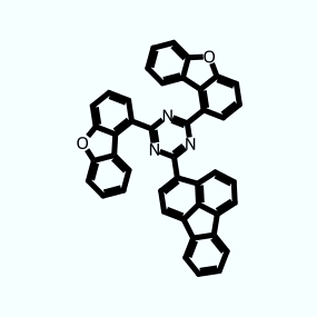 c1ccc2c(c1)-c1cccc3c(-c4nc(-c5cccc6oc7ccccc7c56)nc(-c5cccc6oc7ccccc7c56)n4)ccc-2c13